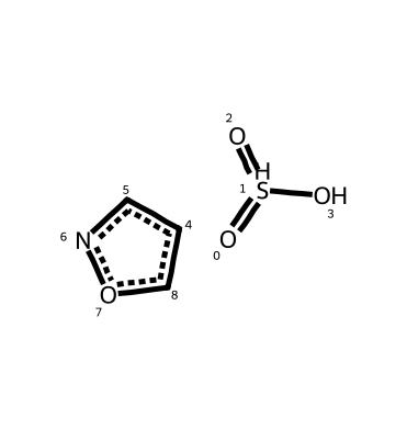 O=[SH](=O)O.c1cnoc1